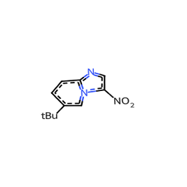 CC(C)(C)c1ccc2ncc([N+](=O)[O-])n2c1